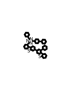 c1ccc(-c2ccc(-c3nc(-c4ccccc4)nc(-c4cccc5sc6cc(-c7cc(-c8ccccc8)c8c(c7)sc7ccccc78)ccc6c45)n3)cc2)cc1